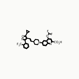 O=C(O)c1cc(OC(F)F)c2cc(N3CCC(C=Cc4c(-c5ccccc5C(F)(F)F)noc4C4CC4)CC3)ccc2n1